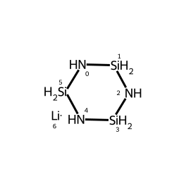 N1[SiH2]N[SiH2]N[SiH2]1.[Li]